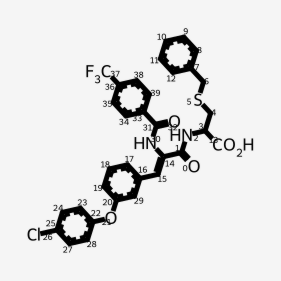 O=C(NC(CSCc1ccccc1)C(=O)O)C(=Cc1cccc(Oc2ccc(Cl)cc2)c1)NC(=O)c1ccc(C(F)(F)F)cc1